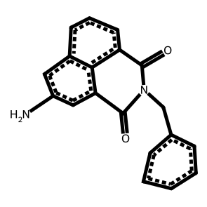 Nc1cc2c3c(cccc3c1)C(=O)N(Cc1ccccc1)C2=O